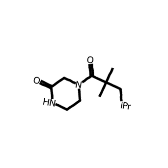 CC(C)CC(C)(C)C(=O)N1CCNC(=O)C1